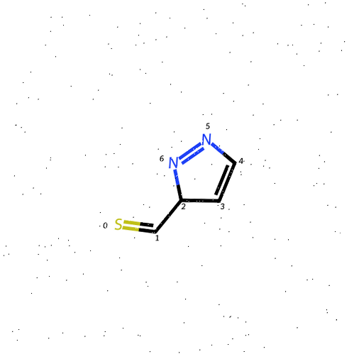 S=CC1C=CN=N1